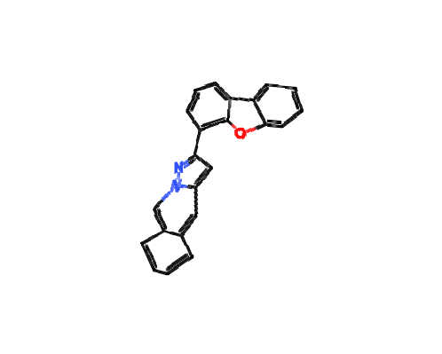 c1ccc2cn3nc(-c4cccc5c4oc4ccccc45)cc3cc2c1